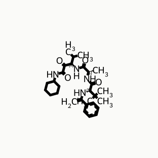 C=C(N[C@H](C(=O)N[C@@H](C)C(=O)N[C@@H](C(=O)C(=O)NC1CCCCC1)C(C)C)C(C)(C)C)c1ccccc1